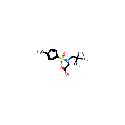 Cc1ccc(S(=O)(=O)N(CC(=O)O)CC(C)(C)C)cc1